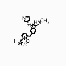 CNCc1cn(Sc2cccnc2)c2cc(CC3=CC=CN(C)C3OC)ccc12